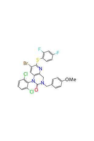 COc1ccc(CN2Cc3nc(Sc4ccc(F)cc4F)c(Br)cc3N(c3c(Cl)cccc3Cl)C2=O)cc1